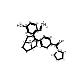 C=CCN1CCC2CCC(C1)N2C(C1=CCC(C(=O)N2CCCC2)C=C1)c1cccc(O)c1